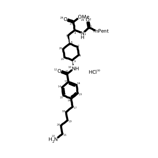 CCCCCC(=O)NC(C[C@H]1CC[C@H](NC(=O)c2ccc(CCCCCN)cc2)CC1)C(=O)OC.Cl